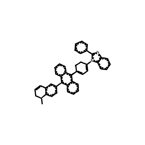 CC1CC=Cc2cc(-c3c4ccccc4c(C4=CC=C(n5c(-c6ccccc6)nc6ccccc65)CC4)c4ccccc34)ccc21